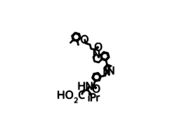 Cc1cccc(OCCCC(=O)N2CCCc3c(-c4cnn(Cc5cccc(C(=O)NC(CC(=O)O)CC(C)C)c5)c4)cccc32)c1C